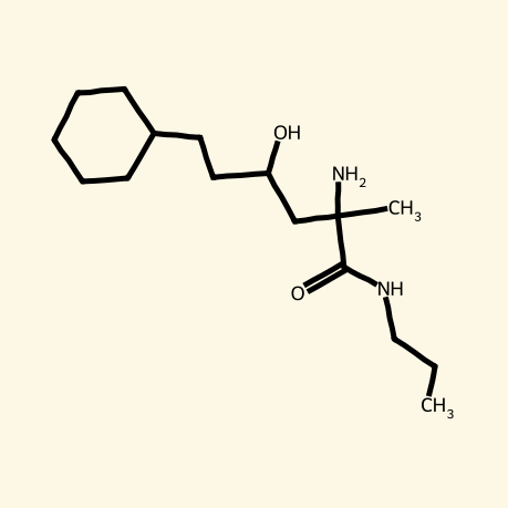 CCCNC(=O)C(C)(N)CC(O)CCC1CCCCC1